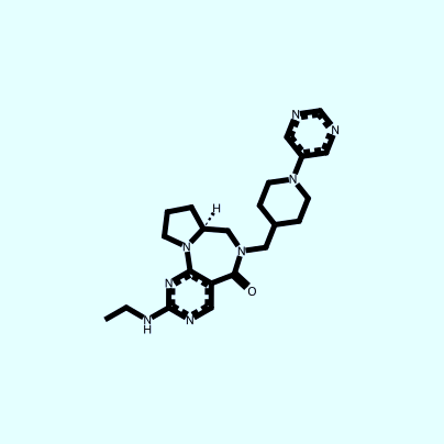 CCNc1ncc2c(n1)N1CCC[C@H]1CN(CC1CCN(c3cncnc3)CC1)C2=O